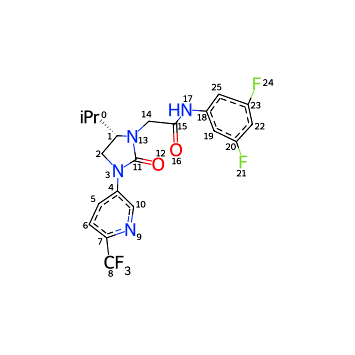 CC(C)[C@H]1CN(c2ccc(C(F)(F)F)nc2)C(=O)N1CC(=O)Nc1cc(F)cc(F)c1